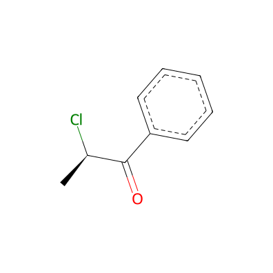 C[C@@H](Cl)C(=O)c1ccccc1